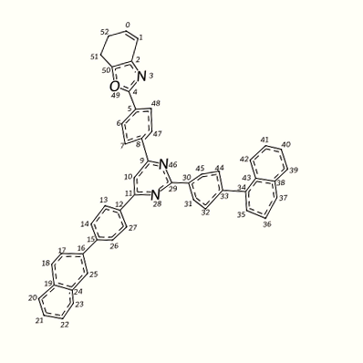 C1=Cc2nc(-c3ccc(-c4cc(-c5ccc(-c6ccc7ccccc7c6)cc5)nc(-c5ccc(-c6cccc7ccccc67)cc5)n4)cc3)oc2CC1